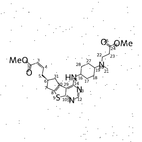 COC(=O)/C=C\C[C@@H]1Cc2sc3ncnc(NC4CCC(N(C)CCC(=O)OC)CC4)c3c2C1